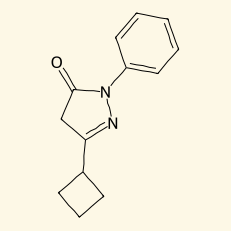 O=C1CC(C2CCC2)=NN1c1ccccc1